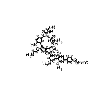 CCCCCOc1ccc(-c2nc(C)c(C(=O)NC(CCN)C(=O)N(C)C3C(=O)NC(C)C(=O)NC(C(=O)NCC#N)Cc4ccc(O)c(c4)-c4cc3ccc4OCCN)c(C)n2)cc1